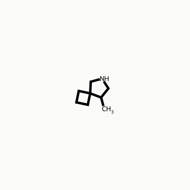 CC1CNCC12CCC2